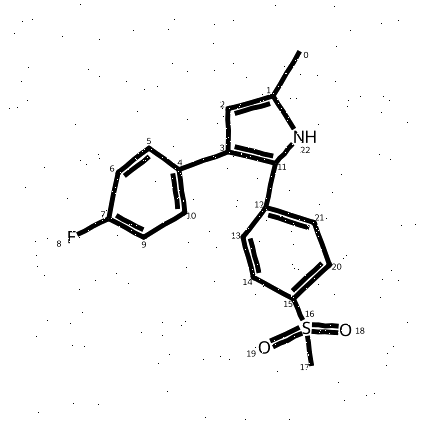 Cc1cc(-c2ccc(F)cc2)c(-c2ccc(S(C)(=O)=O)cc2)[nH]1